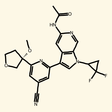 CO[C@@]1(c2cc(C#N)cc(-c3cn(C4CC4(F)F)c4cnc(NC(C)=O)cc34)n2)CCOC1